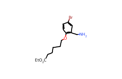 CCOC(=O)CCCCCOc1ccc(Br)cc1CN